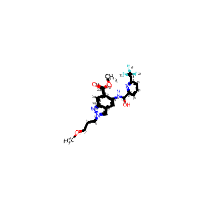 COCCCn1cc2cc(NC(O)c3cccc(C(F)(F)F)n3)c(C(=O)OC)cc2n1